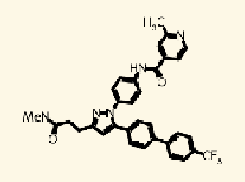 CNC(=O)CCc1cc(-c2ccc(-c3ccc(C(F)(F)F)cc3)cc2)n(-c2ccc(NC(=O)c3ccnc(C)c3)cc2)n1